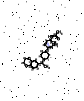 C=C(/C=N\C(=N/C)N1CCN([C@@H](C)c2ccc3c(c2)OCCO3)CC1)NC(C)=O